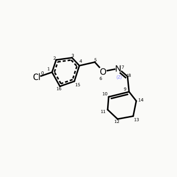 Clc1ccc(CO/N=[C]\C2=CCCCC2)cc1